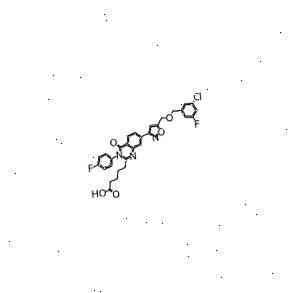 O=C(O)CCCCc1nc2cc(-c3cc(COCc4cc(F)cc(Cl)c4)on3)ccc2c(=O)n1-c1ccc(F)cc1